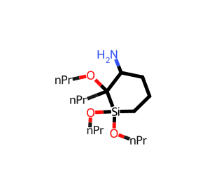 CCCOC1(CCC)C(N)CCC[Si]1(OCCC)OCCC